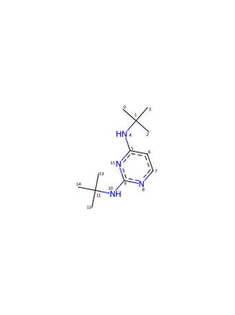 CC(C)(C)Nc1ccnc(NC(C)(C)C)n1